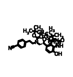 CC(C)(C)OC(=O)N(CCc1ccc(C#N)cc1)C[C@H](O[Si](C)(C)C(C)(C)C)c1ccc(O)c2[nH]c(=O)ccc12